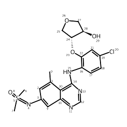 Cc1cc(N=S(C)(C)=O)cc2ncnc(Nc3ccc(Cl)cc3O[C@@H]3COC[C@H]3O)c12